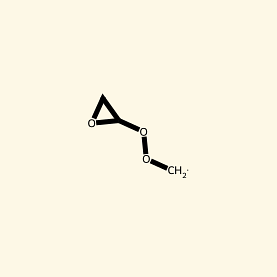 [CH2]OOC1CO1